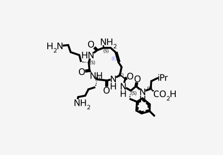 Cc1ccc(C[C@H](NC(=O)[C@@H]2C/C=C/C[C@H](N)C(=O)N[C@@H](CCCCN)C(=O)N[C@@H](CCCCN)C(=O)N2)C(=O)N[C@@H](CC(C)C)C(=O)O)cc1